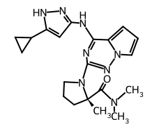 CN(C)C(=O)[C@]1(C)CCCN1c1nc(Nc2cc(C3CC3)[nH]n2)c2cccn2n1